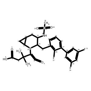 CC(C)(CC(=O)O)C(=C=O)N1C2CC2CC(NS(C)(=O)=O)C1Cc1cccc(-c2cc(F)cc(F)c2)c1F